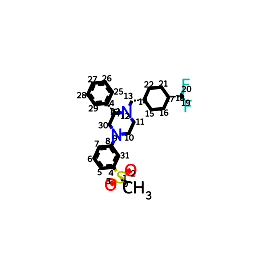 CS(=O)(=O)c1cccc(N2CCN(C[C@H]3CC[C@@H](C(F)F)CC3)[C@@H](c3ccccc3)C2)c1